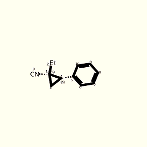 [C-]#[N+][C@@]1(CC)C[C@H]1c1ccccc1